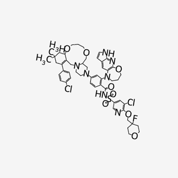 CC1(C)CC(c2ccc(Cl)cc2)=C2CN3CCN(c4ccc(C(=O)NS(=O)(=O)c5cnc(OCC6(F)CCOCC6)c(Cl)c5)c(N5CCCOc6nc7[nH]ccc7cc65)c4)CC3COCCCO[C@@H]2C1